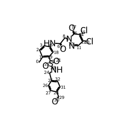 Cc1ccc(NC(=O)Cn2ncc(Cl)c(Cl)c2=O)cc1S(=O)(=O)NCc1ccc(C=O)cc1